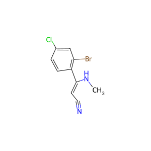 CNC(=CC#N)c1ccc(Cl)cc1Br